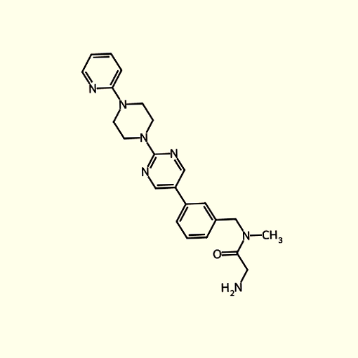 CN(Cc1cccc(-c2cnc(N3CCN(c4ccccn4)CC3)nc2)c1)C(=O)CN